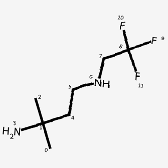 CC(C)(N)CCNCC(F)(F)F